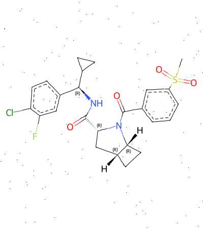 CS(=O)(=O)c1cccc(C(=O)N2[C@@H](C(=O)N[C@@H](c3ccc(Cl)c(F)c3)C3CC3)C[C@H]3CC[C@H]32)c1